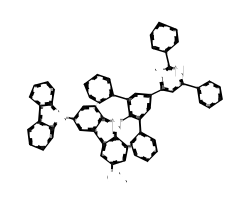 N#Cc1ccc2c(c1)c1cc(-n3c4ccccc4c4ccccc43)ccc1n2-c1c(-c2ccccc2)cc(-c2cc(-c3ccccc3)nc(-c3ccccc3)n2)cc1-c1ccccc1